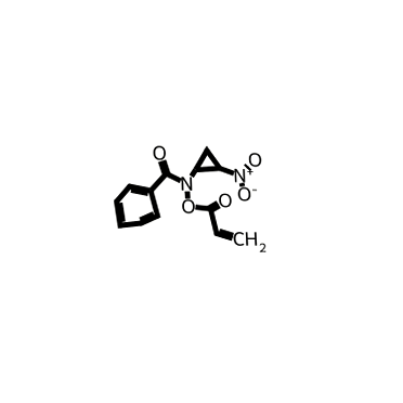 C=CC(=O)ON(C(=O)c1ccccc1)C1CC1[N+](=O)[O-]